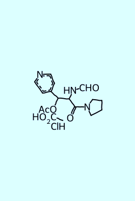 CC(=O)O.CC(=O)OC(c1ccncc1)C(NC=O)C(=O)N1CCCC1.Cl